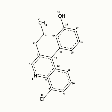 CCCc1cnc2c(Cl)cccc2c1-c1cccc(O)c1